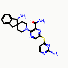 NC(=O)c1nc(Sc2ccnc(N)n2)cnc1N1CCC2(CC1)Cc1ccccc1[C@H]2N